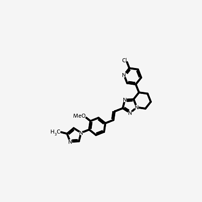 COc1cc(/C=C/c2nc3n(n2)CCCC3c2ccc(Cl)nc2)ccc1-n1cnc(C)c1